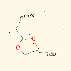 CCCCCCCC1OCC(CCCC)O1